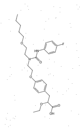 CCCCCOCCN(CCOc1ccc(CC(OCC)C(=O)O)cc1)C(=O)Nc1ccc(F)cc1